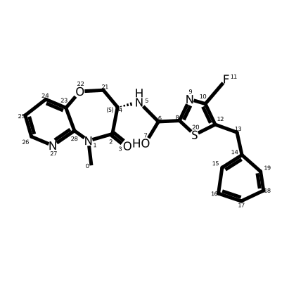 CN1C(=O)[C@@H](NC(O)c2nc(F)c(Cc3ccccc3)s2)COc2cccnc21